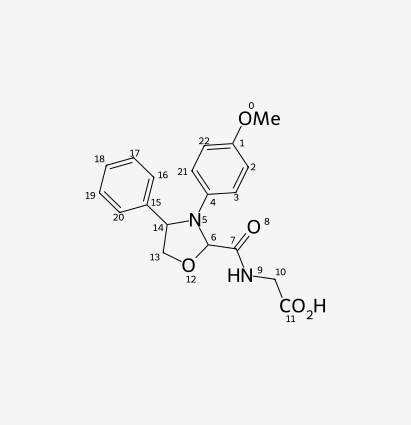 COc1ccc(N2C(C(=O)NCC(=O)O)OCC2c2ccccc2)cc1